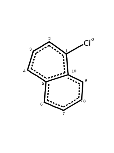 Clc1cccc2cc[c]cc12